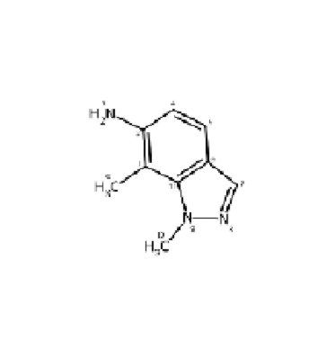 Cc1c(N)ccc2cnn(C)c12